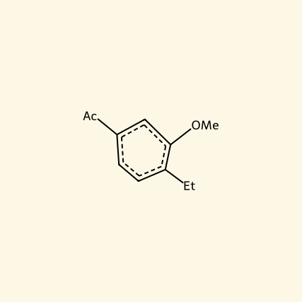 CCc1ccc(C(C)=O)cc1OC